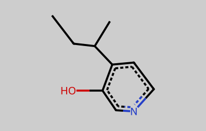 CCC(C)c1ccncc1O